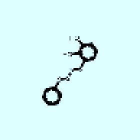 Oc1cccc(SSSSc2ccccc2)c1O